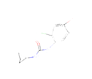 O=C(Nc1ccc(O)cc1Cl)NC1CC1